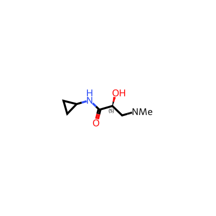 CNC[C@H](O)C(=O)NC1CC1